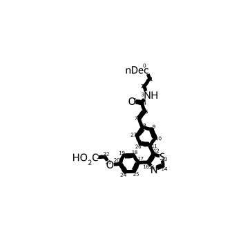 CCCCCCCCCCCCNC(=O)/C=C/c1ccc(-c2scnc2-c2ccc(OCC(=O)O)cc2)cc1